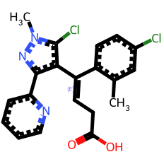 Cc1cc(Cl)ccc1/C(=C\CC(=O)O)c1c(-c2ccccn2)nn(C)c1Cl